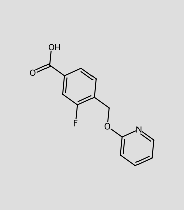 O=C(O)c1ccc(COc2ccccn2)c(F)c1